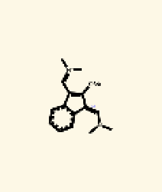 COC1=C(C=[N+](C)C)c2ccccc2/C1=C\N(C)C